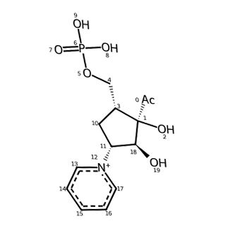 CC(=O)[C@@]1(O)[C@@H](COP(=O)(O)O)C[C@@H]([n+]2ccccc2)[C@@H]1O